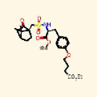 CCOC(=O)CCCOc1ccc(C[C@H](NS(=O)(=O)C[C@]23CCC(CC2=O)C3(C)C)C(=O)OC(C)(C)C)cc1